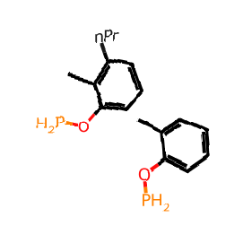 CCCc1cccc(OP)c1C.Cc1ccccc1OP